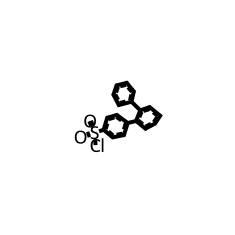 O=S(=O)(Cl)c1ccc(-c2ccccc2-c2ccccc2)cc1